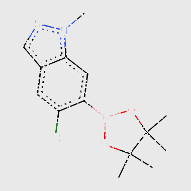 Cn1ncc2cc(Cl)c(B3OC(C)(C)C(C)(C)O3)cc21